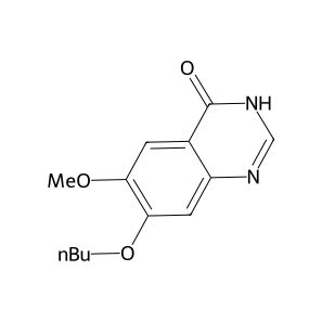 CCCCOc1cc2nc[nH]c(=O)c2cc1OC